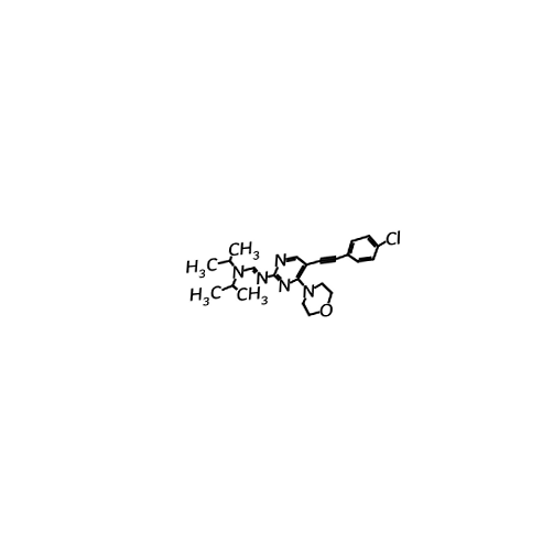 CC(C)N(C=Nc1ncc(C#Cc2ccc(Cl)cc2)c(N2CCOCC2)n1)C(C)C